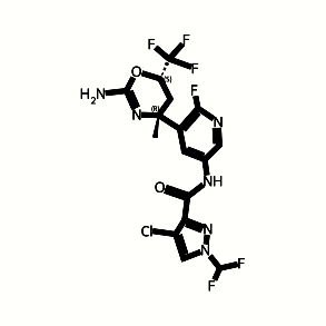 C[C@]1(c2cc(NC(=O)c3nn(C(F)F)cc3Cl)cnc2F)C[C@@H](C(F)(F)F)OC(N)=N1